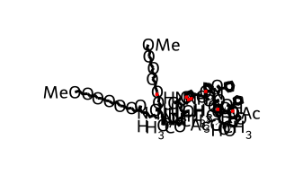 COCCOCCOCCOCCOCCOCC(=O)NCCCC[C@H](NC(=O)COCCOCCOCCOCCOCCOC)C(=O)N[C@H](C)C(=O)N[C@H](C)C(=O)N[C@H](CC(N)=O)C(=O)Nc1ccc(COC(=O)O[C@@H](C(=O)O[C@H]2C[C@@]3(O)[C@@H](OC(=O)c4ccccc4)[C@H]4[C@](C)(C(=O)[C@H](OC(C)=O)C(=C2C)C3(C)C)[C@@H](O)CC2OC[C@]24OC(C)=O)[C@@H](NC(=O)c2ccccc2)c2ccccc2)cc1